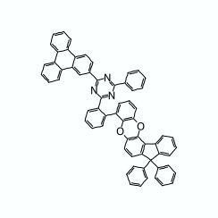 c1ccc(-c2nc(-c3ccc4c5ccccc5c5ccccc5c4c3)nc(-c3ccccc3-c3cccc4c3Oc3ccc5c(c3O4)-c3ccccc3C5(c3ccccc3)c3ccccc3)n2)cc1